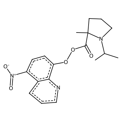 CC(C)N1CCCC1(C)C(=O)OOc1ccc([N+](=O)[O-])c2cccnc12